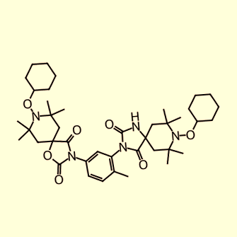 Cc1ccc(N2C(=O)OC3(CC(C)(C)N(OC4CCCCC4)C(C)(C)C3)C2=O)cc1N1C(=O)NC2(CC(C)(C)N(OC3CCCCC3)C(C)(C)C2)C1=O